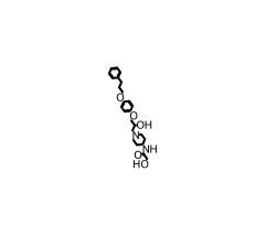 O=C(CO)NC1CCN(CC(O)COc2ccc(OCCCc3ccccc3)cc2)CC1